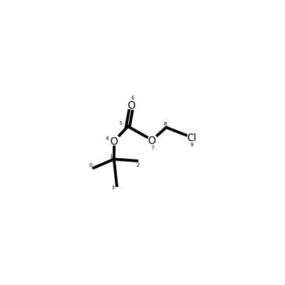 CC(C)(C)OC(=O)OCCl